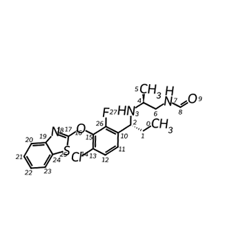 CC[C@@H](N[C@@H](C)CNC=O)c1ccc(Cl)c(Oc2nc3ccccc3s2)c1F